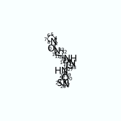 O=C(CN1CCCCC1)N1CC=C(C2Cc3c(Nc4ccc5ncsc5c4)ccnc3N2)CC1